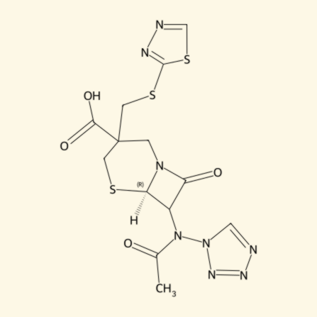 CC(=O)N(C1C(=O)N2CC(CSc3nncs3)(C(=O)O)CS[C@H]12)n1cnnn1